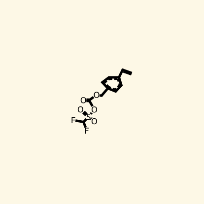 C=Cc1ccc(COC(=O)OS(=O)(=O)C(F)F)cc1